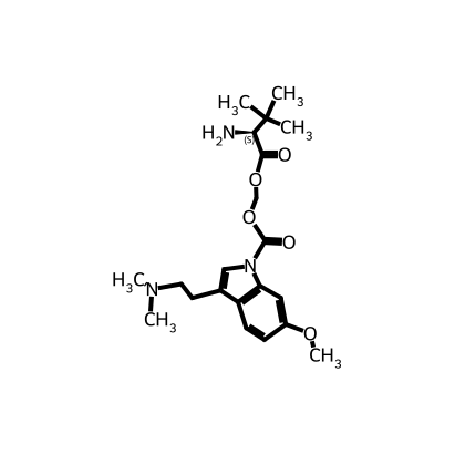 COc1ccc2c(CCN(C)C)cn(C(=O)OCOC(=O)[C@@H](N)C(C)(C)C)c2c1